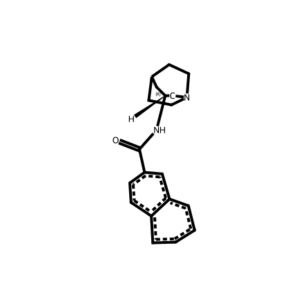 O=C(N[C@@H]1CC2CCN(CC2)C1)c1ccc2ccccc2c1